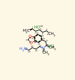 C=CCCCCC.CC(Cc1ccc2c(c1)OCO2)N(C)CCCCN.Cl.Cl